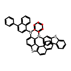 c1ccc(-c2ccc(N(c3ccccc3)c3ccc4sc5ccc6ccccc6c5c4c3N(c3ccccc3)c3ccc4c(c3)sc3ccccc34)c3ccccc23)cc1